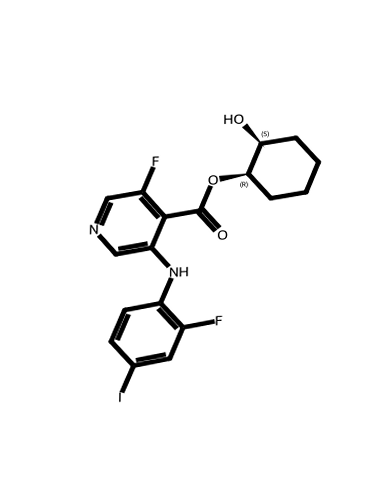 O=C(O[C@@H]1CCCC[C@@H]1O)c1c(F)cncc1Nc1ccc(I)cc1F